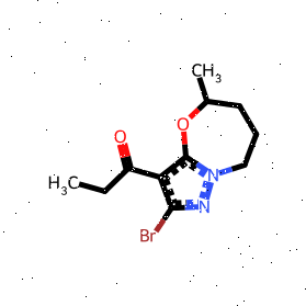 CCC(=O)c1c(Br)nn2c1OC(C)CCC2